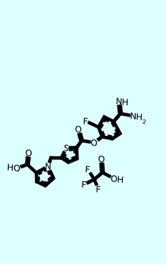 N=C(N)c1ccc(OC(=O)c2ccc(Cn3cccc3C(=O)O)s2)c(F)c1.O=C(O)C(F)(F)F